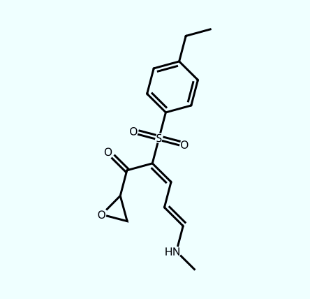 CCc1ccc(S(=O)(=O)/C(=C/C=C/NC)C(=O)C2CO2)cc1